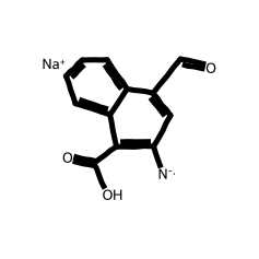 [N-]c1cc(C=O)c2ccccc2c1C(=O)O.[Na+]